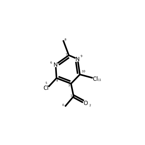 CC(=O)c1c(Cl)nc(C)nc1Cl